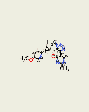 COc1ccc([C@H]2C[C@@H]2COc2nc(C)ncc2-c2cn(C)nn2)nc1